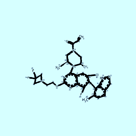 C=CC(=O)N1C[C@@H](C)N(c2nc(OCCN3CC(F)(F)C3)nc3c(F)c(-c4c(C)ccc5cn[nH]c45)c(Cl)cc23)[C@@H](C)C1